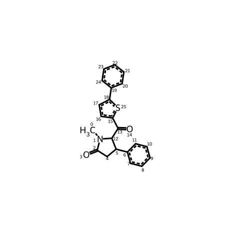 CN1C(=O)CC(c2ccccc2)C1C(=O)c1ccc(-c2ccccc2)s1